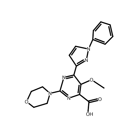 COc1c(C(=O)O)nc(N2CCOCC2)nc1-c1ccn(-c2ccccc2)n1